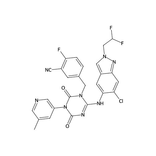 Cc1cncc(-n2c(=O)nc(Nc3cc4cn(CC(F)F)nc4cc3Cl)n(Cc3ccc(F)c(C#N)c3)c2=O)c1